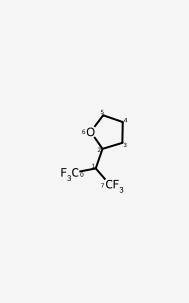 FC(F)(F)C(C1CCCO1)C(F)(F)F